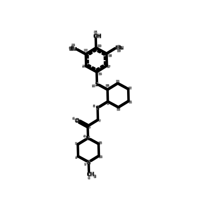 CN1CCN(C(=O)CSC2CCCCC2Sc2cc(C(C)(C)C)c(O)c(C(C)(C)C)c2)CC1